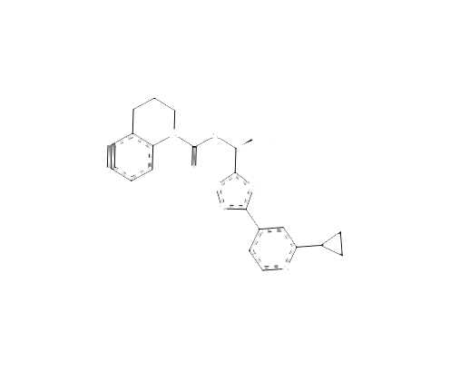 C[C@H](NC(=O)N1CCCc2c#cccc21)c1nc(-c2ccnc(C3CC3)c2)no1